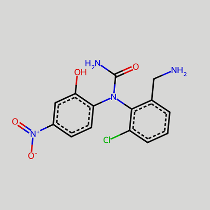 NCc1cccc(Cl)c1N(C(N)=O)c1ccc([N+](=O)[O-])cc1O